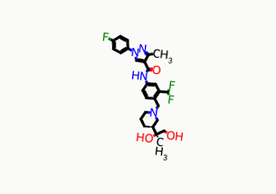 Cc1nn(-c2ccc(F)cc2)cc1C(=O)Nc1ccc(CN2CCC[C@H]([C@](C)(O)CO)C2)c(C(F)F)c1